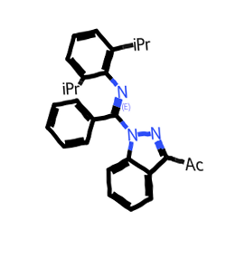 CC(=O)c1nn(/C(=N/c2c(C(C)C)cccc2C(C)C)c2ccccc2)c2ccccc12